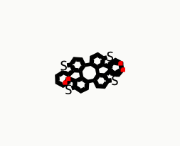 c1ccc2c(c1)sc1ccc3c(c12)-c1c(ccc2sc4ccccc4c12)-c1ccc2sc4ccccc4c2c1-c1c-3ccc2sc3ccccc3c12